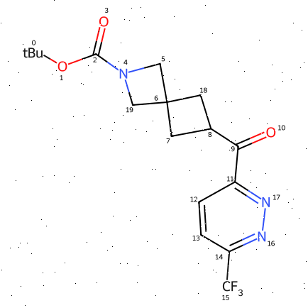 CC(C)(C)OC(=O)N1CC2(CC(C(=O)c3ccc(C(F)(F)F)nn3)C2)C1